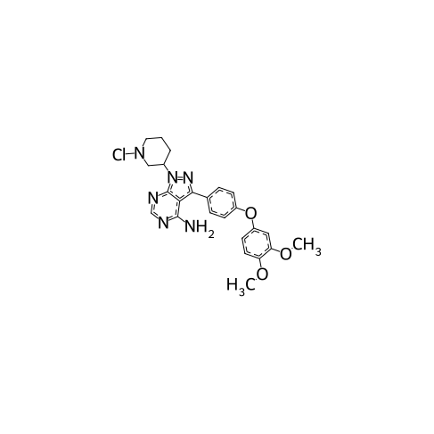 COc1ccc(Oc2ccc(-c3nn(C4CCCN(Cl)C4)c4ncnc(N)c34)cc2)cc1OC